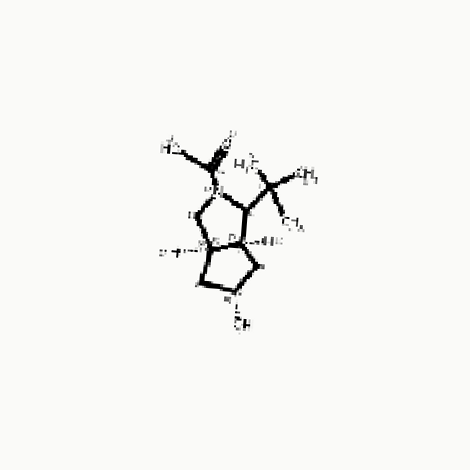 CC(C)(C)C1[C@H]2C[C@H](O)C[C@H]2CN1C(=O)O